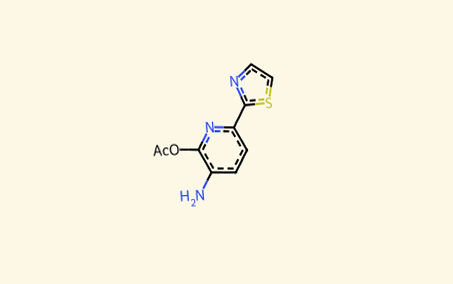 CC(=O)Oc1nc(-c2nccs2)ccc1N